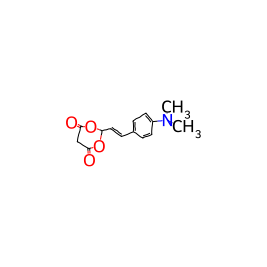 CN(C)c1ccc(C=CC2OC(=O)CC(=O)O2)cc1